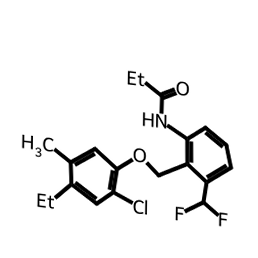 CCC(=O)Nc1cccc(C(F)F)c1COc1cc(C)c(CC)cc1Cl